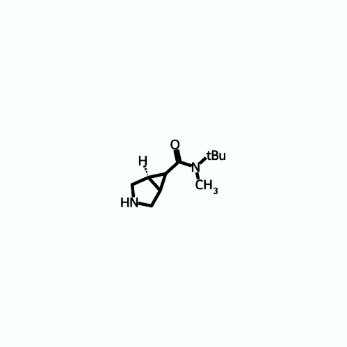 CN(C(=O)C1C2CNC[C@H]21)C(C)(C)C